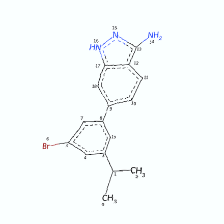 CC(C)c1cc(Br)cc(-c2ccc3c(N)n[nH]c3c2)c1